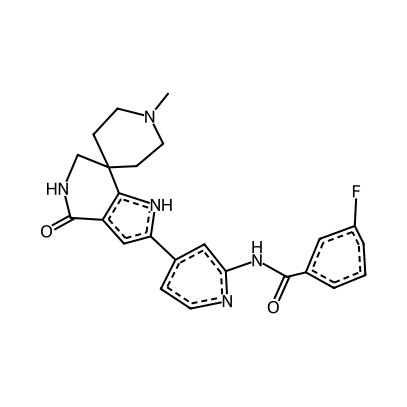 CN1CCC2(CC1)CNC(=O)c1cc(-c3ccnc(NC(=O)c4cccc(F)c4)c3)[nH]c12